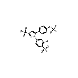 CS(=O)(=O)c1ccc(-n2nc(C(F)(F)F)cc2-c2ccc(OC(F)(F)F)cc2)cc1F